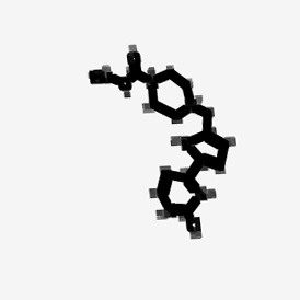 CC(C)(C)OC(=O)N1CCN(Cc2ccc(-c3ccnc(Cl)n3)s2)CC1